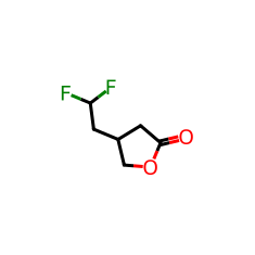 O=C1CC(CC(F)F)CO1